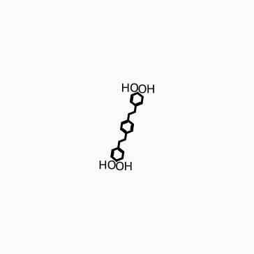 OC1(O)C=CC(CCc2ccc(CCC3=CCC(O)(O)C=C3)cc2)=CC1